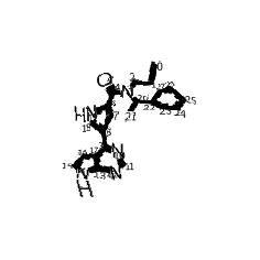 C=CCN(C(=O)c1cc(-c2ncnc3[nH]ccc23)c[nH]1)C(C)c1ccccc1